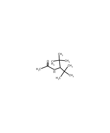 CC(=O)NC(C(C)(C)C)C(C)(C)C